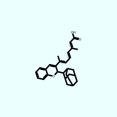 CC(/C=C/C=C(\C)C1=Cc2ccccc2OC1C1C2CC3CC(C2)CC1C3)=C\C(=O)O